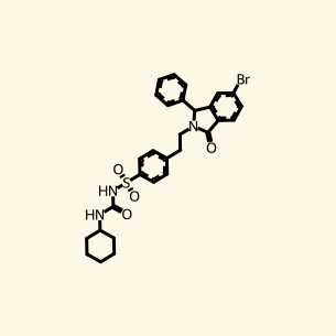 O=C(NC1CCCCC1)NS(=O)(=O)c1ccc(CCN2C(=O)c3ccc(Br)cc3C2c2ccccc2)cc1